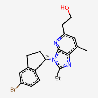 CCc1nc2c(C)cc(CCO)nc2n1[C@H]1CCc2cc(Br)ccc21